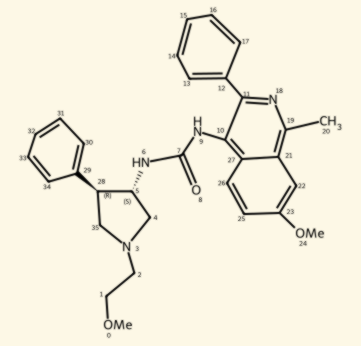 COCCN1C[C@@H](NC(=O)Nc2c(-c3ccccc3)nc(C)c3cc(OC)ccc23)[C@H](c2ccccc2)C1